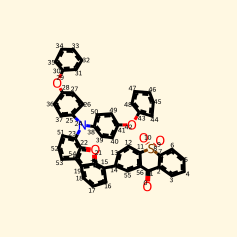 O=C1c2ccccc2S(=O)(=O)c2ccc(-c3cccc4c3oc3c(N(c5ccc(Oc6ccccc6)cc5)c5ccc(Oc6ccccc6)cc5)cccc34)cc21